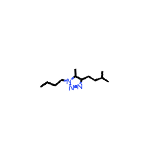 CCCCN1N=NC(CCC(C)C)C1C